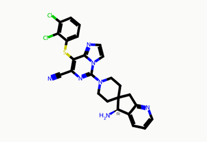 N#Cc1nc(N2CCC3(CC2)Cc2ncccc2[C@H]3N)n2ccnc2c1Sc1cccc(Cl)c1Cl